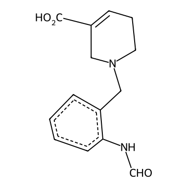 O=CNc1ccccc1CN1CCC=C(C(=O)O)C1